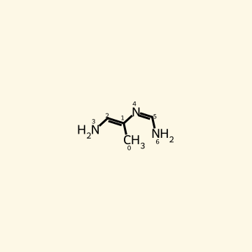 CC(=C\N)/N=C\N